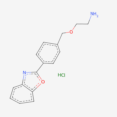 Cl.NCCOCc1ccc(-c2nc3ccccc3o2)cc1